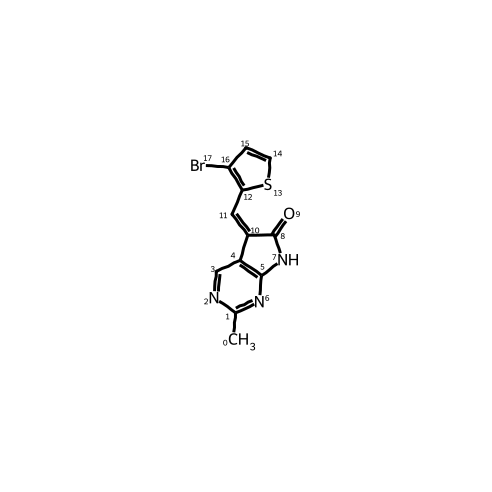 Cc1ncc2c(n1)NC(=O)C2=Cc1sccc1Br